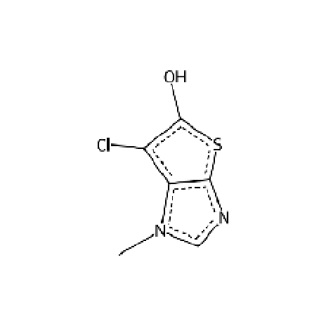 Cn1cnc2sc(O)c(Cl)c21